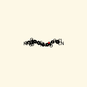 N#Cc1ccc(O[C@H]2CC[C@H](N3Cc4cc(N5CCN(CC6(F)CCN(c7ccc8c(c7)C(=O)N(C7CCC(=O)NC7=O)C8=O)CC6)CC5)ccc4C3=O)CC2)cc1Cl